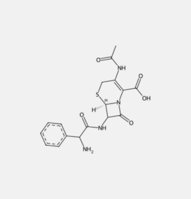 CC(=O)NC1=C(C(=O)O)N2C(=O)C(NC(=O)C(N)c3ccccc3)[C@H]2SC1